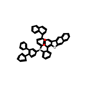 c1ccc(-c2ccc(N(c3ccc(-c4cccc5ccccc45)cc3)c3ccccc3-c3cccc4c3oc3cc5ccccc5cc34)cc2-c2ccccc2)cc1